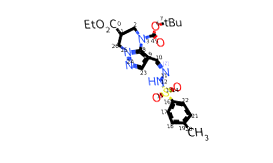 CCOC(=O)C1CN(C(=O)OC(C)(C)C)c2c(/C=N\NS(=O)(=O)c3ccc(C)cc3)cnn2C1